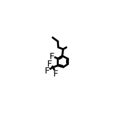 CCCC(C)c1cccc(C(F)(F)F)c1F